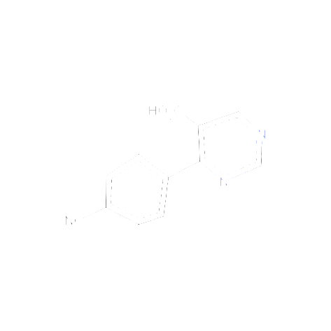 N#Cc1ccc(-c2ncncc2C(=O)O)cc1